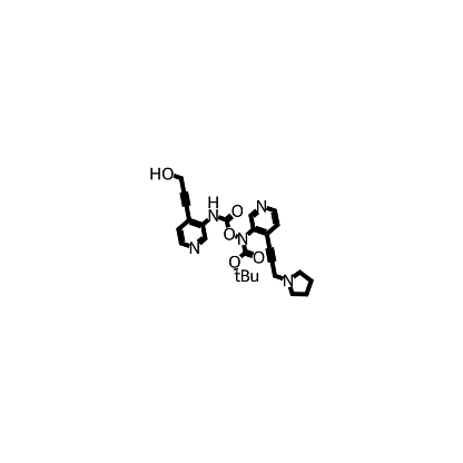 CC(C)(C)OC(=O)N(OC(=O)Nc1cnccc1C#CCO)c1cnccc1C#CCN1CCCC1